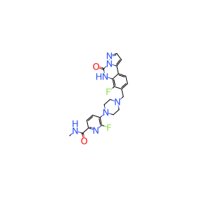 CNC(=O)c1ccc(N2CCN(Cc3ccc4c([nH]c(=O)n5nccc45)c3F)CC2)c(F)n1